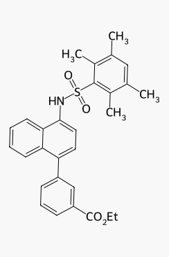 CCOC(=O)c1cccc(-c2ccc(NS(=O)(=O)c3c(C)c(C)cc(C)c3C)c3ccccc23)c1